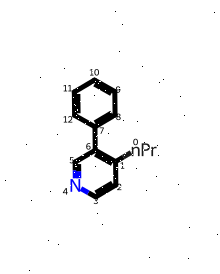 CCCc1ccncc1-c1ccccc1